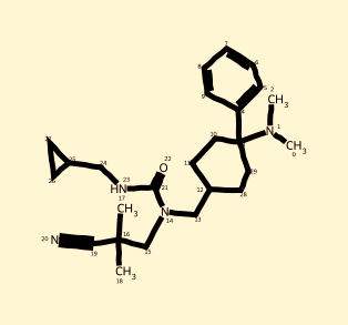 CN(C)C1(c2ccccc2)CCC(CN(CC(C)(C)C#N)C(=O)NCC2CC2)CC1